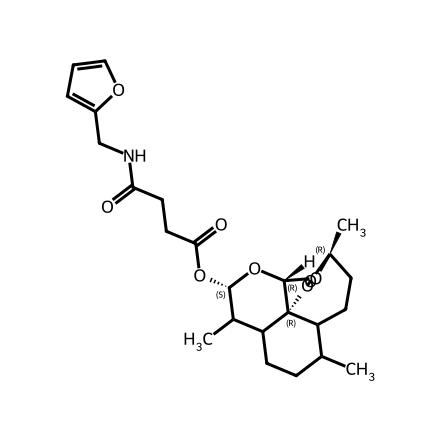 CC1CCC2C(C)[C@H](OC(=O)CCC(=O)NCc3ccco3)O[C@@H]3O[C@@]4(C)CCC1[C@@]23OO4